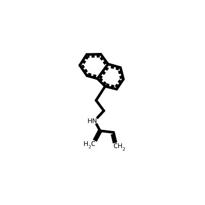 C=CC(=C)NCCc1cccc2ccccc12